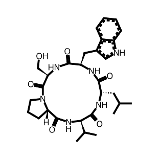 CC(C)C[C@@H]1NC(=O)[C@@H](C(C)C)NC(=O)[C@@H]2CCCN2C(=O)[C@@H](CO)NC(=O)[C@@H](Cc2c[nH]c3ccccc23)NC1=O